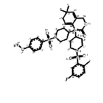 Cc1ccc(F)cc1S(=O)(=O)N1CCC([N+]2(C3CCN(S(=O)(=O)c4ccc(OC(C)C)cc4)CC3)C(=O)OCC3=CC(C)(C)CC=C32)CC1